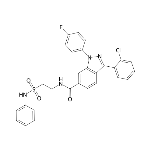 O=C(NCCS(=O)(=O)Nc1ccccc1)c1ccc2c(-c3ccccc3Cl)nn(-c3ccc(F)cc3)c2c1